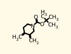 C=C1CCN(C(=O)OC(C)(C)C)CC1=C